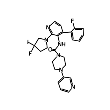 O=C(Nc1c(-c2ccccc2F)ccnc1N1CCC(F)(I)C1)N1CCN(c2cccnc2)CC1